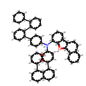 c1ccc(-c2ccccc2-c2ccccc2-c2ccc(N(c3ccc(-c4cccc5cccc(-c6ccccc6)c45)cc3)c3cccc4c3oc3c5ccccc5ccc43)cc2)cc1